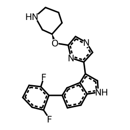 Fc1cccc(F)c1-c1ccc2[nH]cc(-c3cncc(O[C@@H]4CCCNC4)n3)c2c1